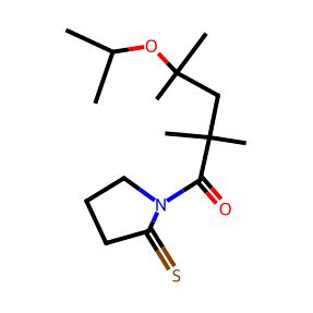 CC(C)OC(C)(C)CC(C)(C)C(=O)N1CCCC1=S